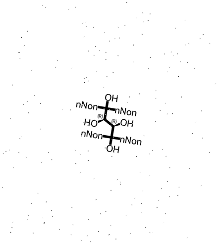 CCCCCCCCCC(O)(CCCCCCCCC)[C@H](O)[C@@H](O)C(O)(CCCCCCCCC)CCCCCCCCC